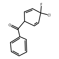 O=C(c1ccccc1)C1C=CC(F)(Cl)C=C1